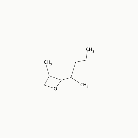 CCCC(C)[C]1OCC1C